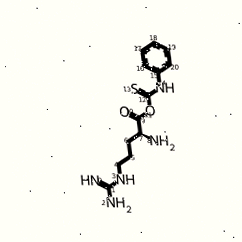 N=C(N)NCCC[C@H](N)C(=O)OC(=S)Nc1ccccc1